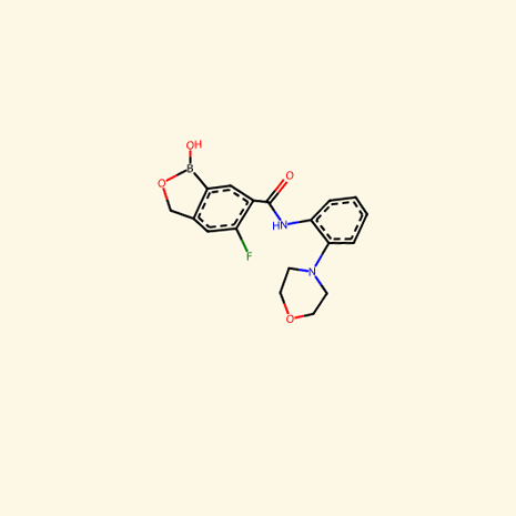 O=C(Nc1ccccc1N1CCOCC1)c1cc2c(cc1F)COB2O